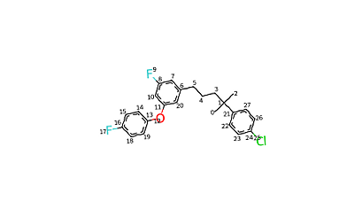 CC(C)(CCCc1cc(F)cc(Oc2ccc(F)cc2)c1)c1ccc(Cl)cc1